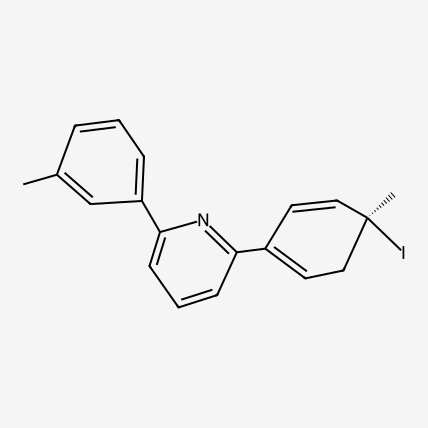 Cc1cccc(-c2cccc(C3=CC[C@](C)(I)C=C3)n2)c1